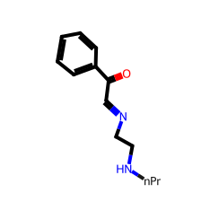 CCCNCCN=CC(=O)c1ccccc1